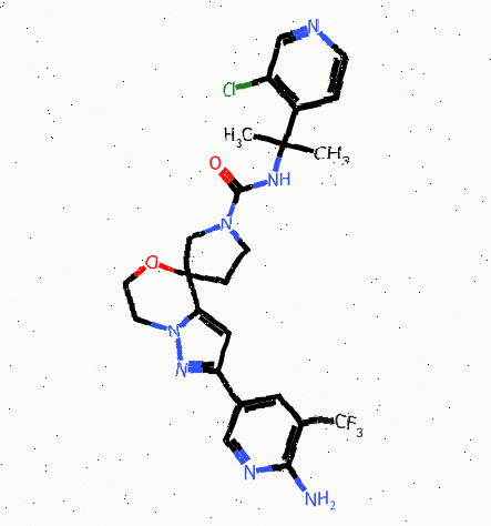 CC(C)(NC(=O)N1CCC2(C1)OCCn1nc(-c3cnc(N)c(C(F)(F)F)c3)cc12)c1ccncc1Cl